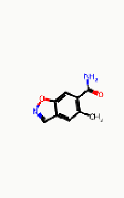 Cc1cc2cnoc2cc1C(N)=O